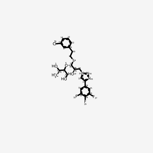 C[C@@H](O)C(CO)O[C@H](SCCc1cccc(Cl)c1)[C@H](O)Cn1cc(-c2cc(F)c(F)c(F)c2)nn1